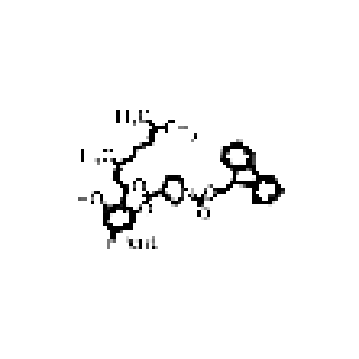 CCCCCc1cc(O)c(CC=C(C)CCC=C(C)C)c(OC(=O)C2CCN(C(=O)OCC3c4ccccc4-c4ccccc43)C2)c1